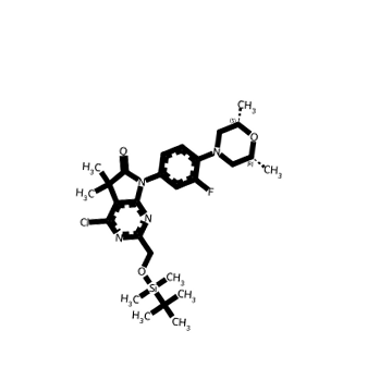 C[C@@H]1CN(c2ccc(N3C(=O)C(C)(C)c4c(Cl)nc(CO[Si](C)(C)C(C)(C)C)nc43)cc2F)C[C@H](C)O1